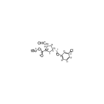 CC(C)(C)OC(=O)N1C[C@@H](COc2cccc(Cl)c2)C[C@H]1C=O